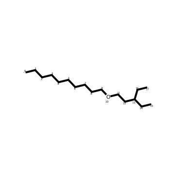 [CH2]CCCCCCCCCOCCC(CC)CC